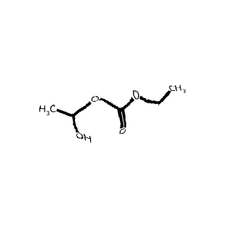 C[CH]OC(=O)OC(C)O